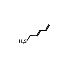 C=CC=CC[SiH3]